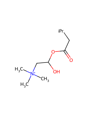 CC(C)CC(=O)OC(O)C[N+](C)(C)C